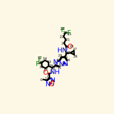 Cc1nonc1C(=O)N[C@H](c1cn2ncc([C@H](NC(=O)CCCC(F)F)C3CC3)cc2n1)C1CCC(F)(F)CC1